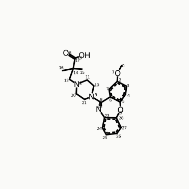 COc1ccc2c(c1)C(N1CCN(CC(C)(C)C(=O)O)CC1)=Nc1ccccc1O2